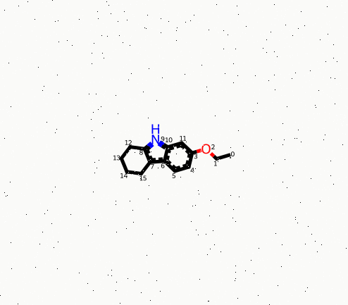 [CH2]COc1ccc2c3c([nH]c2c1)CCCC3